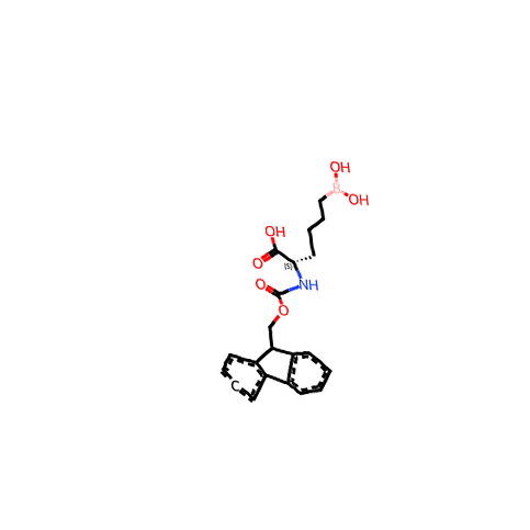 O=C(N[C@@H](CCCCB(O)O)C(=O)O)OCC1c2ccccc2-c2ccccc21